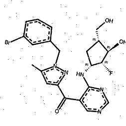 Cc1cc(C(=O)c2cncnc2N[C@@H]2C[C@H](CO)[C@@H](O)[C@@H]2F)nn1Cc1cccc(Br)c1